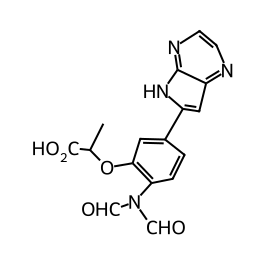 CC(Oc1cc(-c2cc3nccnc3[nH]2)ccc1N(C=O)C=O)C(=O)O